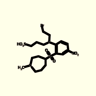 CN1CCCC(S(=O)(=O)c2cc([N+](=O)[O-])ccc2N(CCBr)CCCS(=O)(=O)O)CC1